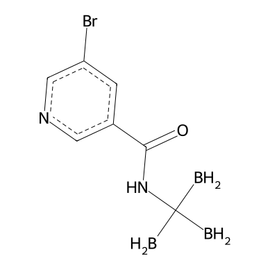 BC(B)(B)NC(=O)c1cncc(Br)c1